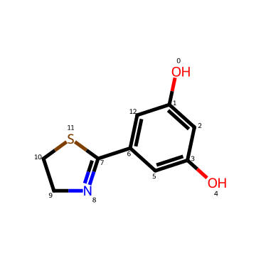 Oc1cc(O)cc(C2=NCCS2)c1